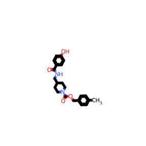 Cc1ccc(COC(=O)N2CCC(CNC(=O)c3ccc(O)cc3)CC2)cc1